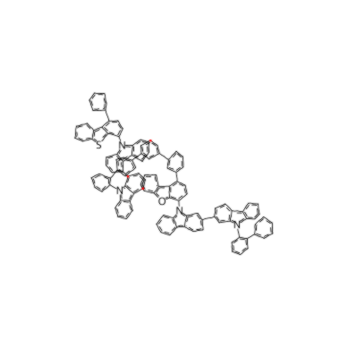 c1ccc(-c2ccccc2-n2c3ccccc3c3ccc(-c4ccc5c6ccccc6n(-c6ccc(-c7cccc(-c8cccc(-c9ccc(-c%10ccccc%10-n%10c%11ccccc%11c%11cccc(-c%12cccc%13c%12c%12ccccc%12n%13-c%12ccc(-c%13ccccc%13)c%13c%12sc%12ccccc%12%13)c%11%10)cc9)c8)c7)c7c6oc6ccccc67)c5c4)cc32)cc1